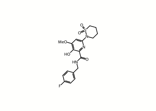 COc1cc(N2CCCCS2(=O)=O)nc(C(=O)NCc2ccc(F)cc2)c1O